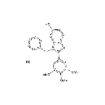 COc1cc(-c2nc3ccc(O)cc3n2Cc2ccccc2)cc(OC)c1OC.Cl